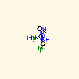 Br.Cc1nc2ccccc2n1-c1cc(N)nc(Nc2ccc(C(F)(F)F)cc2)n1